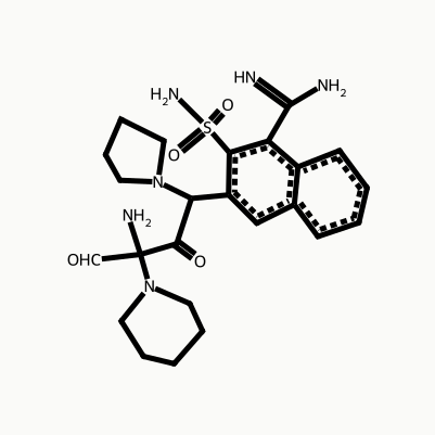 N=C(N)c1c(S(N)(=O)=O)c(C(C(=O)C(N)(C=O)N2CCCCC2)N2CCCC2)cc2ccccc12